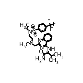 CCN(CCN(C)Cc1nc(N[C@H](C(N)=O)C(C)C)c2ccccc2n1)S(=O)(=O)c1ccc(C(F)(F)F)cc1